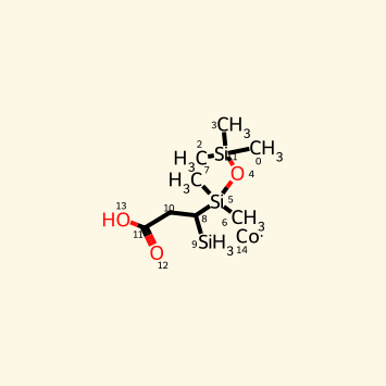 C[Si](C)(C)O[Si](C)(C)C([SiH3])CC(=O)O.[Co]